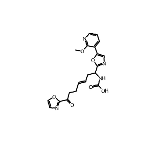 COc1ncccc1-c1cnc(C(CC=CCCC(=O)c2ncco2)NC(=O)O)o1